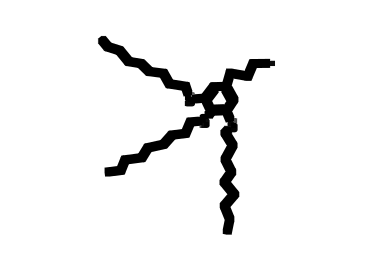 [CH2]CCCc1cc(SCCCCCCCCC)c(SCCCCCCCCC)c(SCCCCCCCCC)c1